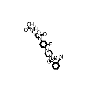 CC(=O)NC[C@H]1CN(c2ccc(N3CCN(S(=O)(=O)c4ccccc4C#N)CC3)c(F)c2)C(=O)O1